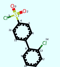 O=S(=O)(Cl)c1ccc(-c2ccccc2Cl)cc1